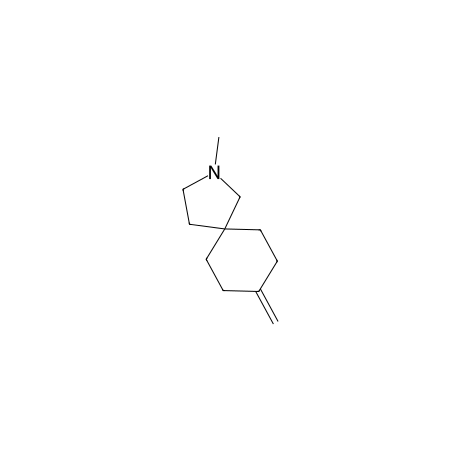 C=C1CCC2(CC1)CCN(C)C2